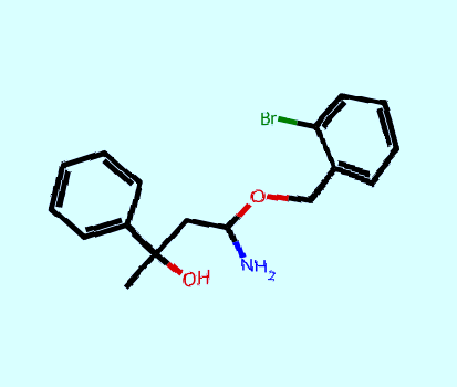 CC(O)(CC(N)OCc1ccccc1Br)c1ccccc1